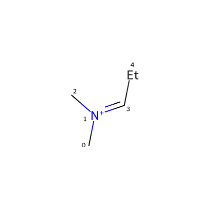 C[N+](C)=CC[13CH3]